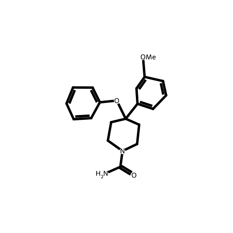 COc1cccc(C2(Oc3ccccc3)CCN(C(N)=O)CC2)c1